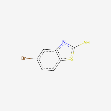 Sc1nc2cc(Br)ccc2s1